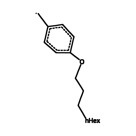 [CH2]c1ccc(OCCCCCCCCC)cc1